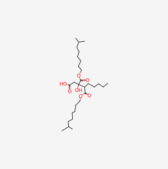 CCCCCC(C(=O)OCCCCCCC(C)C)C(O)(CC(=O)O)C(=O)OCCCCCCC(C)C